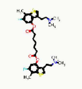 Cc1c(F)cc(OC(=O)CCCCCC(=O)Oc2cc(F)c(C)c3scc(CCN(C)C)c23)c2c(CCN(C)C)csc12